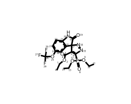 CCOC(=O)C1=C(P(=O)(OCC)OCC)N=NC12C(=O)Nc1ccc(OC(F)(F)F)cc12